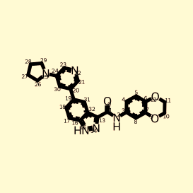 O=C(Nc1ccc2c(c1)OCCO2)c1n[nH]c2ccc(-c3cncc(N4CCCC4)c3)cc12